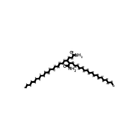 CCCCCCCCCCCCCCCCCCC(CCC(N)=O)C(CCCCCCCCCCCCCCCCCC)C(N)=O